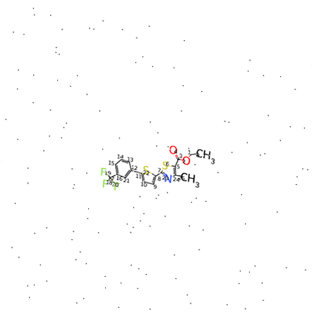 CCOC(=O)c1sc(-c2ccc(-c3cccc(C(F)(F)F)c3)s2)nc1C